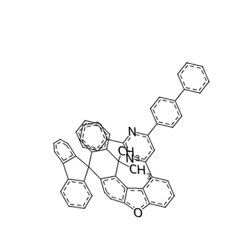 CC1(C)c2ccccc2C2(c3ccccc3-c3ccccc32)c2ccc3oc4cccc(-c5cc(-c6ccc(-c7ccccc7)cc6)nc(-c6ccccc6)n5)c4c3c21